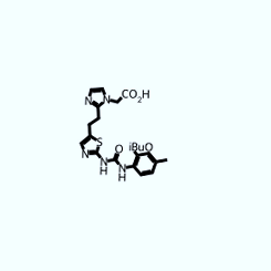 Cc1ccc(NC(=O)Nc2ncc(CCc3nccn3CC(=O)O)s2)c(OCC(C)C)c1